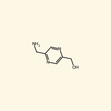 NCc1cnc(CO)cn1